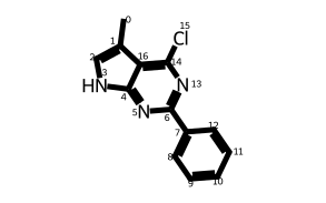 Cc1c[nH]c2nc(-c3ccccc3)nc(Cl)c12